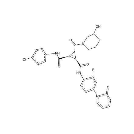 O=C(Nc1ccc(Cl)cc1)[C@@H]1[C@H](C(=O)Nc2ccc(-n3ccccc3=O)cc2F)[C@H]1C(=O)N1CCCC(O)C1